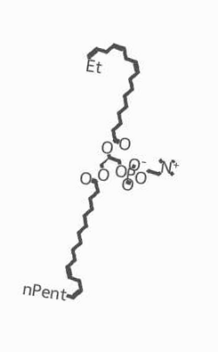 CC/C=C\C/C=C\C/C=C\CCCCCCCC(=O)O[C@H](COC(=O)CCCCCCCCC/C=C\C/C=C\CCCCC)COP(=O)([O-])OCC[N+](C)(C)C